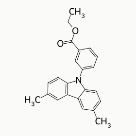 CCOC(=O)c1cccc(-n2c3ccc(C)cc3c3cc(C)ccc32)c1